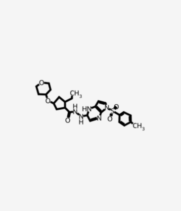 CCC1CC(OC2CCOCC2)CC1C(=O)NNC1C=Nc2c(ccn2S(=O)(=O)c2ccc(C)cc2)N1